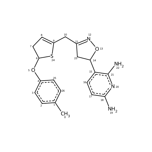 Cc1ccc(OC2CC=C(CC3=NOC(c4ccc(N)nc4N)C3)S2)cc1